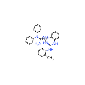 Cc1ccccc1NC(=N)Nc1ccccc1C.N=C(N)N(c1ccccc1)c1ccccc1